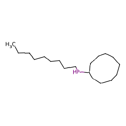 CCCCCCCCCPC1CCCCCCCCC1